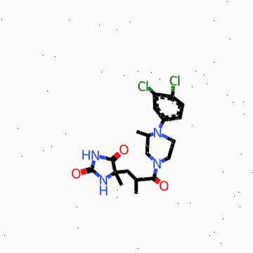 CC(CC1(C)NC(=O)NC1=O)C(=O)N1CCN(c2ccc(Cl)c(Cl)c2)C(C)C1